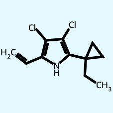 C=Cc1[nH]c(C2(CC)CC2)c(Cl)c1Cl